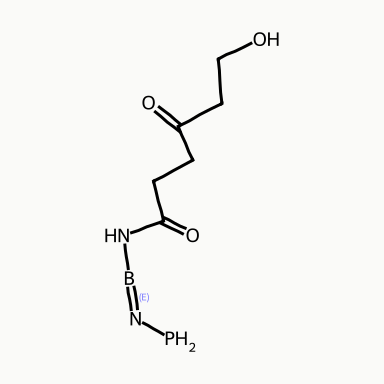 O=C(CCO)CCC(=O)N/B=N/P